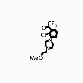 COCCN1CCN(c2cccc(C(=O)C(F)(F)F)c2Cl)CC1